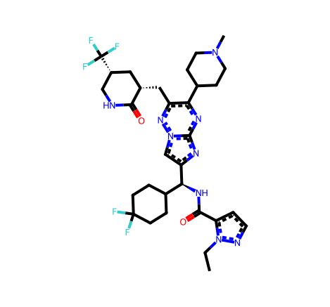 CCn1nccc1C(=O)N[C@H](c1cn2nc(C[C@H]3C[C@@H](C(F)(F)F)CNC3=O)c(C3CCN(C)CC3)nc2n1)C1CCC(F)(F)CC1